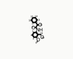 COc1cccc(NC(=O)C(=O)c2ccccc2)c1C=O